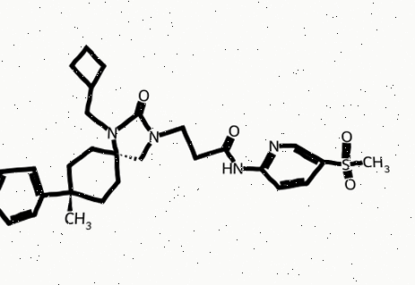 CS(=O)(=O)c1ccc(NC(=O)CCN2C[C@]3(CC[C@@](C)(c4ccccc4)CC3)N(CC3CCC3)C2=O)nc1